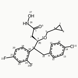 O=C(C[C@@H](OCC1CC1)C(Cc1ccc(Cl)cc1)c1ccc(F)cc1F)NO